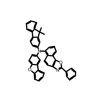 CC1(C)c2ccccc2-c2ccc(N(c3ccc4oc5ccccc5c4c3)c3cccc4c3ccc3nc(-c5ccccc5)oc34)cc21